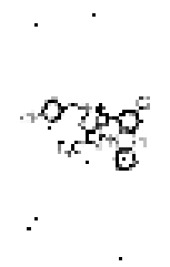 CCCN(Cc1ccc(Cl)cc1)Cc1sc(N(c2ccccc2)c2c(Cl)cc(Cl)cc2Cl)nc1C(F)(F)F